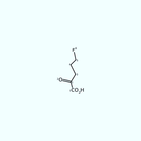 O=C(O)C(=O)CCCF